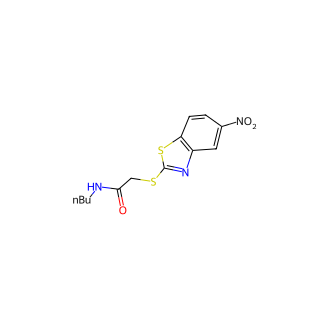 CCCCNC(=O)CSc1nc2cc([N+](=O)[O-])ccc2s1